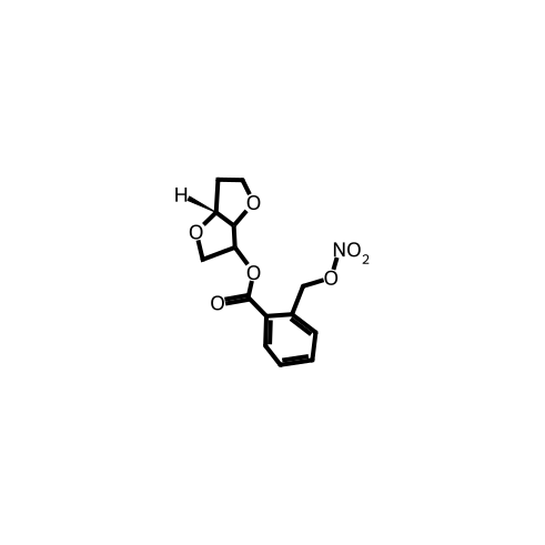 O=C(OC1CO[C@@H]2CCOC12)c1ccccc1CO[N+](=O)[O-]